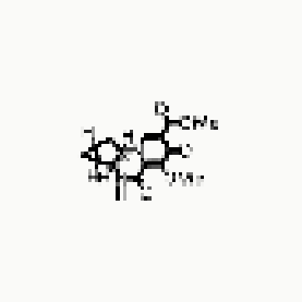 COC(=O)c1cn2c(c(OC)c1=O)C(=O)N[C@@H]1[C@H]3C[C@H]3C[C@@H]12